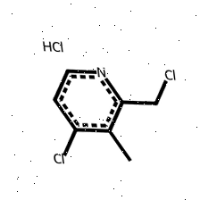 Cc1c(Cl)ccnc1CCl.Cl